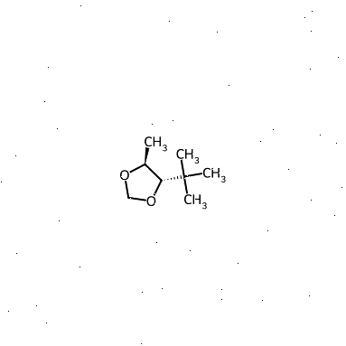 C[C@@H]1OCO[C@H]1C(C)(C)C